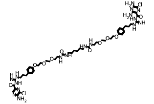 N=C(NCCCc1ccc(OCCOCCOCCNC(=O)NCCCCCCNC(=O)NCCOCCOCCOc2ccc(CCCNC(=N)NC(=O)c3nc(Cl)c(N)nc3N)cc2)cc1)NC(=O)c1cnc(N)c(Cl)n1